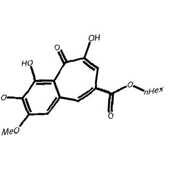 CCCCCCOC(=O)c1cc(O)c(=O)c2c(O)c(O)c(OC)cc2c1